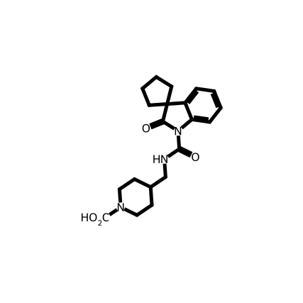 O=C(O)N1CCC(CNC(=O)N2C(=O)C3(CCCC3)c3ccccc32)CC1